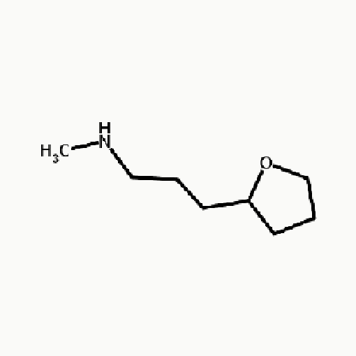 CNCCCC1CCCO1